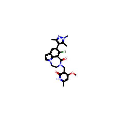 COc1cc(C)[nH]c(=O)c1CN1CCn2ccc3cc(-c4c(C)nn(C)c4C)c(Cl)c(c32)C1=O